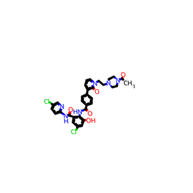 CC(=O)N1CCN(CCn2cccc(-c3ccc(C(=O)Nc4c(O)cc(Cl)cc4C(=O)Nc4ccc(Cl)cn4)cc3)c2=O)CC1